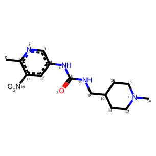 Cc1ncc(NC(=O)NCC2CCN(C)CC2)cc1[N+](=O)[O-]